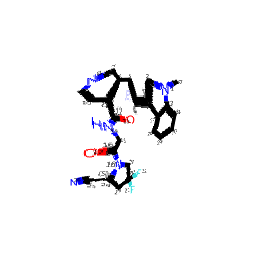 Cn1cc(/C=C/c2cnccc2C(=O)NCC(=O)N2CC(F)(F)C[C@H]2C#N)c2ccccc21